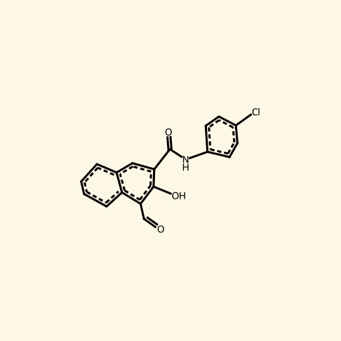 O=Cc1c(O)c(C(=O)Nc2ccc(Cl)cc2)cc2ccccc12